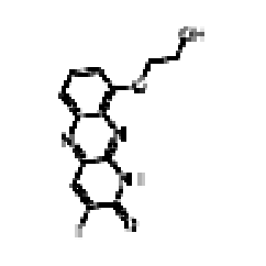 O=c1[nH]c2nc3c(OCCO)cccc3nc2cc1I